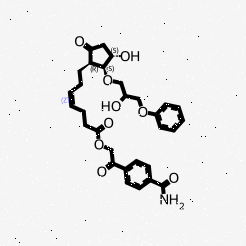 NC(=O)c1ccc(C(=O)COC(=O)CC/C=C\CC[C@H]2C(=O)C[C@H](O)[C@H]2OCC(O)COc2ccccc2)cc1